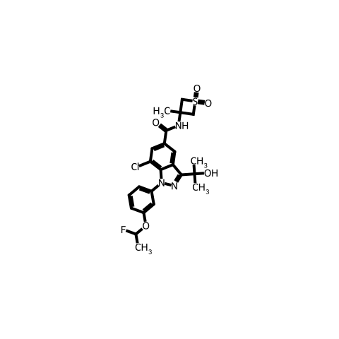 CC(F)Oc1cccc(-n2nc(C(C)(C)O)c3cc(C(=O)NC4(C)CS(=O)(=O)C4)cc(Cl)c32)c1